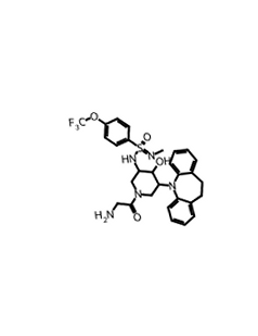 CN=S(=O)(NC1CN(C(=O)CN)CC(N2c3ccccc3CCc3ccccc32)C1O)c1ccc(OC(F)(F)F)cc1